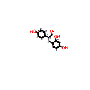 O=C[C@@H](Cc1ccc(O)cc1O)c1ccc(O)cc1